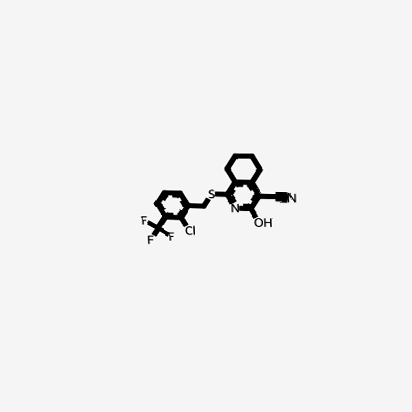 N#Cc1c(O)nc(SCc2cccc(C(F)(F)F)c2Cl)c2c1CCCC2